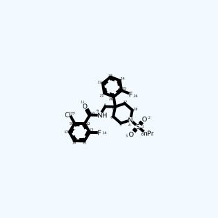 CCCS(=O)(=O)N1CCC(CNC(=O)c2c(F)cccc2Cl)(c2ccccc2F)CC1